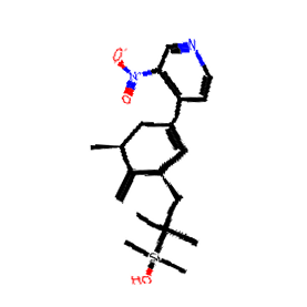 C=C1[C@@H](C)CC(c2ccncc2[N+](=O)[O-])=C[C@H]1CC(C)(C)[Si](C)(C)O